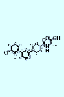 C[C@H](NC(=O)C1CCN(c2cc(-c3cccc(Cl)c3Cl)ccn2)CC1)C(=O)O